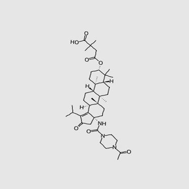 CC(=O)N1CCN(C(=O)N[C@@]23CC[C@]4(C)[C@H](CC[C@@H]5[C@@]6(C)CC[C@H](OC(=O)CC(C)(C)C(=O)O)C(C)(C)[C@@H]6CC[C@]54C)C2=C(C(C)C)C(=O)C3)CC1